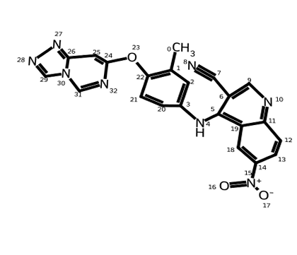 Cc1cc(Nc2c(C#N)cnc3ccc([N+](=O)[O-])cc23)ccc1Oc1cc2nncn2cn1